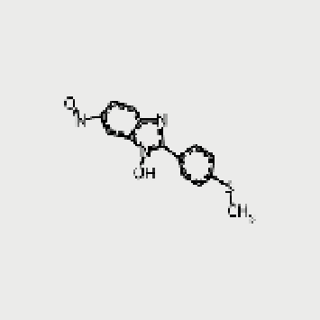 CSc1ccc(-c2nc3ccc(N=O)cc3n2O)cc1